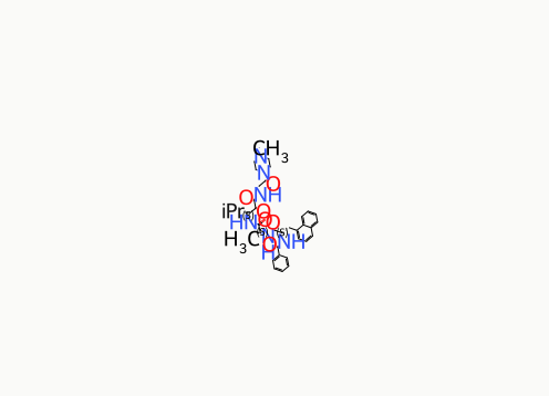 CC(C)[C@H](NC(=O)[C@H](C)NC(=O)[C@H](Cc1cccc2ccccc12)NC(=O)c1ccccc1)C(=O)C(=O)NCC(=O)N1CCN(C)CC1